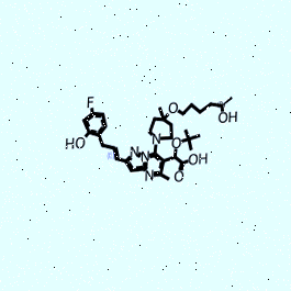 Cc1nc2cc(/C=C/Cc3ccc(F)cc3O)nn2c(N2CCC(C)(OCCCC[C@@H](C)O)CC2)c1C(OC(C)(C)C)C(=O)O